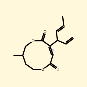 C=CC(C=CC)/C1=C/C(=O)OCCC(C)COC1=O